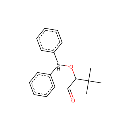 CC(C)(C)C(C=O)O[SiH](c1ccccc1)c1ccccc1